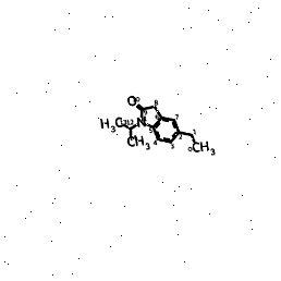 CCc1ccc2c(c1)CC(=O)N2C(C)C